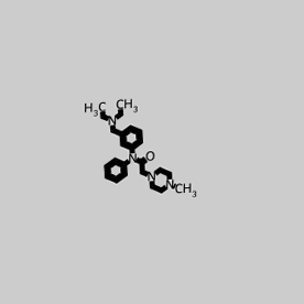 CCN(CC)Cc1cccc(N(C(=O)CN2CCN(C)CC2)c2ccccc2)c1